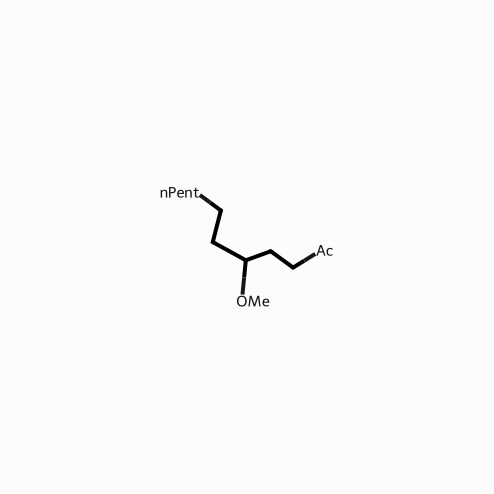 CCCCCCCC(CCC(C)=O)OC